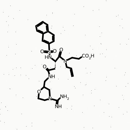 C=CCN(CCC(=O)O)C(=O)[C@H](CC(=O)NCC1CN(C(=N)N)CCO1)NS(=O)(=O)c1ccc2ccccc2c1